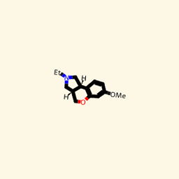 [CH2]CN1C[C@@H]2COc3cc(OC)ccc3[C@@H]2C1